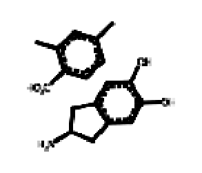 Cc1ccc(C(=O)O)c(C)c1.NC1Cc2cc(O)c(O)cc2C1